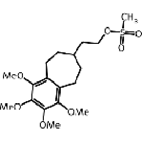 COc1c2c(c(OC)c(OC)c1OC)CCC(CCOS(C)(=O)=O)CC2